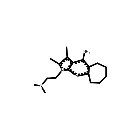 Cc1c(C)n(CCN(C)C)c2nc3c(c(N)c12)CCCCC3